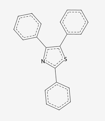 c1ccc(-c2nc(-c3ccccc3)c(-c3ccccc3)s2)cc1